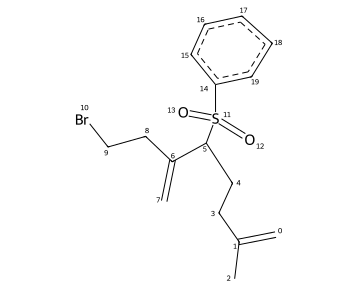 C=C(C)CCC(C(=C)CCBr)S(=O)(=O)c1ccccc1